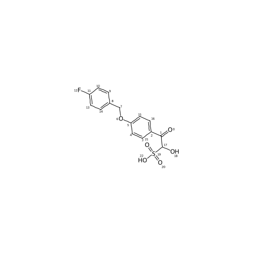 O=C(c1ccc(OCc2ccc(F)cc2)cc1)C(O)S(=O)(=O)O